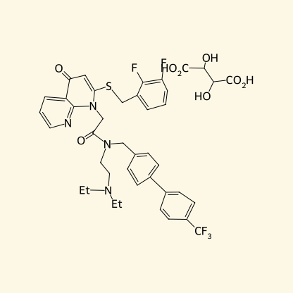 CCN(CC)CCN(Cc1ccc(-c2ccc(C(F)(F)F)cc2)cc1)C(=O)Cn1c(SCc2cccc(F)c2F)cc(=O)c2cccnc21.O=C(O)C(O)C(O)C(=O)O